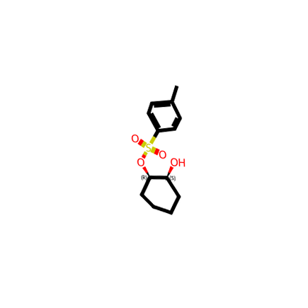 Cc1ccc(S(=O)(=O)O[C@@H]2CCCC[C@@H]2O)cc1